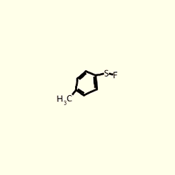 Cc1ccc(SF)cc1